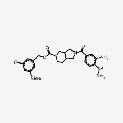 CSc1cc(Cl)cc(COC(=O)N2CCC3CN(C(=O)c4ccc(NN)c(N)c4)CC3C2)c1